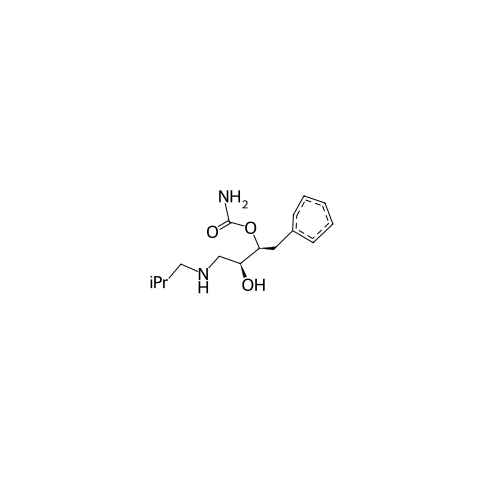 CC(C)CNC[C@H](O)[C@H](Cc1ccccc1)OC(N)=O